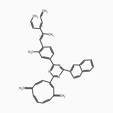 C=C/C=C(\C=C/C)C(/C)=C/c1ccc(-c2nc(-c3ccc(=C)ccccc(=C)c3)nc(-c3ccc4ccccc4c3)n2)cc1C